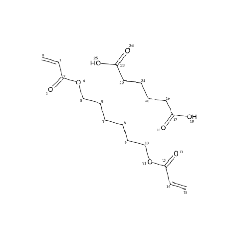 C=CC(=O)OCCCCCCOC(=O)C=C.O=C(O)CCCCC(=O)O